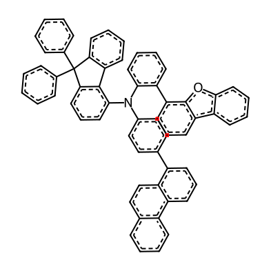 c1ccc(C2(c3ccccc3)c3ccccc3-c3c(N(c4ccc(-c5cccc6c5ccc5ccccc56)cc4)c4ccccc4-c4cccc5c4oc4ccccc45)cccc32)cc1